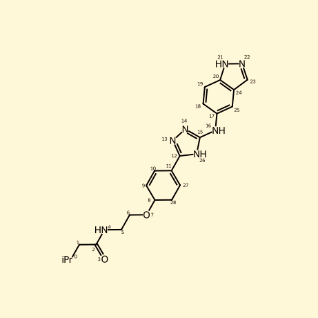 CC(C)CC(=O)NCCOC1C=CC(c2nnc(Nc3ccc4[nH]ncc4c3)[nH]2)=CC1